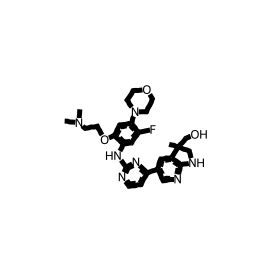 CN(C)CCOc1cc(N2CCOCC2)c(F)cc1Nc1nccc(-c2cnc3c(c2)C(C)(CO)CN3)n1